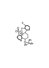 CC(C)[Si](OC1CCC(c2cccc(F)c2F)C(OS(C)(=O)=O)c2cccnc21)(C(C)C)C(C)C